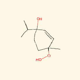 CC(C)C1(O)C=CC(C)(OO)CC1